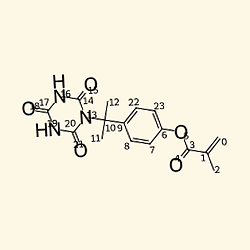 C=C(C)C(=O)Oc1ccc(C(C)(C)n2c(=O)[nH]c(=O)[nH]c2=O)cc1